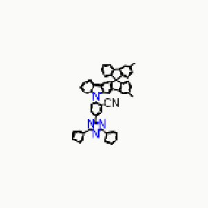 Cc1ccc2c(c1)-c1ccccc1C21c2ccc(C)cc2-c2cc3c(cc21)c1ccccc1n3-c1ccc(-c2nc(-c3ccccc3)nc(-c3ccccc3)n2)cc1C#N